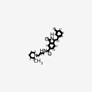 CC1CCCCN1CCCNC(=O)c1ccc2c(c1)C(=O)NC2Cc1cccc(I)c1